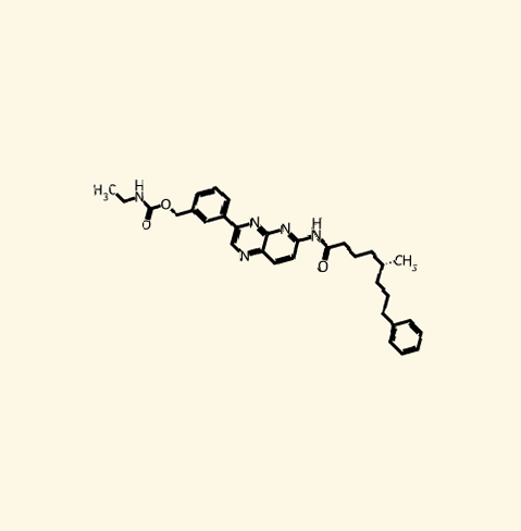 CCNC(=O)OCc1cccc(-c2cnc3ccc(NC(=O)CCC[C@H](C)CCCc4ccccc4)nc3n2)c1